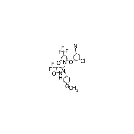 COc1ccc(CN2NC(=O)C(C(F)F)C=C2Cn2c(Oc3cc(Cl)cc(C#N)c3)cc(C(F)(F)F)cc2=O)cc1